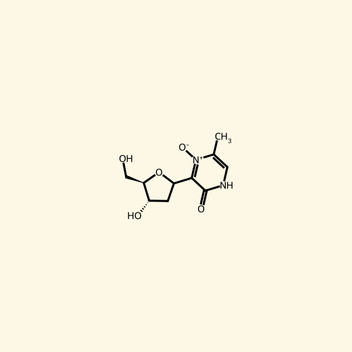 Cc1c[nH]c(=O)c(C2C[C@H](O)[C@@H](CO)O2)[n+]1[O-]